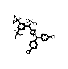 CS(=O)(=O)C(c1cc(C(F)(F)F)cc(C(F)(F)F)c1)C1CN(C(c2ccc(Cl)cc2)c2ccc(Cl)cc2)C1